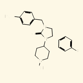 CC(C)COc1ccc(CN2C[C@H](c3ccc(F)cc3)N(C3CCN(C)CC3)C2=O)cc1